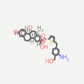 C[C@]12C=CC(=O)C=C1CC[C@@H]1[C@@H]2[C@@H](O)C[C@@]2(C)[C@H]1C[C@H]1O[C@@H](c3ccc(Cc4ccc(CO)c(N)c4)s3)O[C@]12C(=O)CO